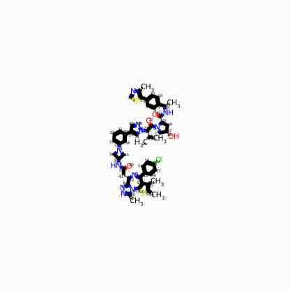 Cc1ncsc1-c1ccc([C@H](C)NC(=O)[C@@H]2C[C@@H](O)CN2C(=O)[C@H](C(C)C)n2cc(-c3cccc(N4CC(NC(=O)C[C@@H]5N=C(c6ccc(Cl)cc6)c6c(sc(C)c6C)-n6c(C)nnc65)C4)c3)cn2)cc1